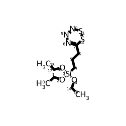 CCO[Si](CCCC1=NN=NSS1)(OCC)OCC